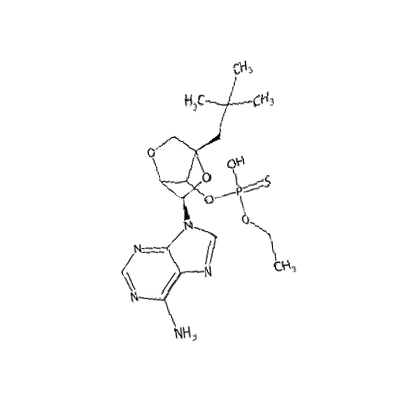 CCOP(O)(=S)OC1C2OC[C@]1(CC(C)(C)C)O[C@H]2n1cnc2c(N)ncnc21